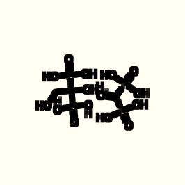 C=C(P(=O)(O)O)P(=O)(O)O.O=P(O)(O)C(O)(CO)P(=O)(O)O